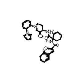 O=C(NC1(C(=O)NC2CCN(c3ccccc3-n3cccc3)CC2=O)CCCCC1)c1cc2ccccc2o1